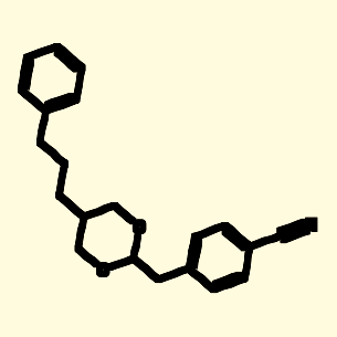 N#Cc1ccc(CC2OCC(CCCc3ccccc3)CO2)cc1